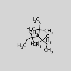 CCC(C)(C)[C](C(C)(C)CC)C(C)(C)CC